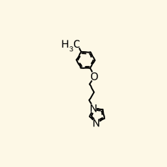 Cc1ccc(OCCCn2ccnc2)cc1